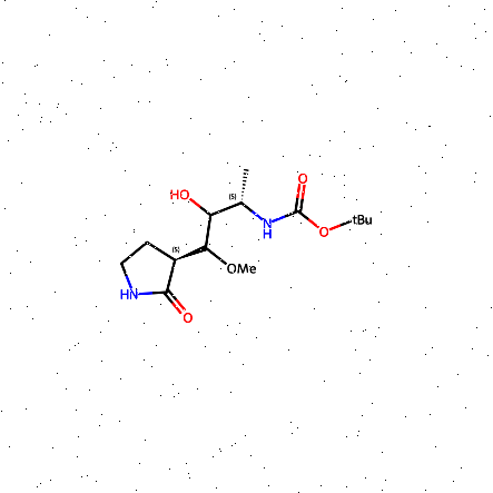 COC(C(O)[C@H](C)NC(=O)OC(C)(C)C)[C@@H]1CCNC1=O